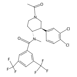 CC(=O)N1CC[C@@H](N(C)C(=O)c2cc(C(F)(F)F)cc(C(F)(F)F)c2)[C@H](c2ccc(Cl)c(Cl)c2)C1